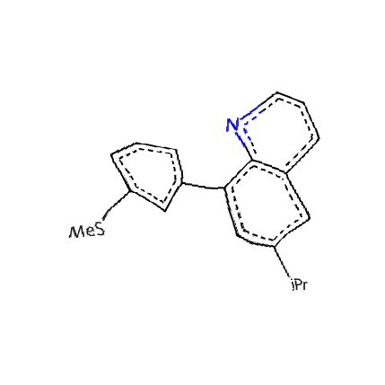 CSc1cccc(-c2cc(C(C)C)cc3cccnc23)c1